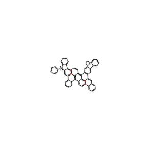 c1ccc(-n2c3ccccc3c3ccc(-c4ccccc4-c4c5ccccc5c(-c5cc6oc7ccccc7c6cc5-c5ccc6ccccc6c5)c5ccccc45)cc32)cc1